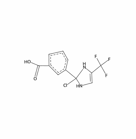 O=C(O)c1cccc(C2(Cl)NC=C(C(F)(F)F)N2)c1